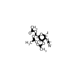 CC(=O)OC[C@H]1O[C@H](I)[C@@H](N=[N+]=[N-])[C@@H](OC(C)=O)[C@@H]1OC(C)=O